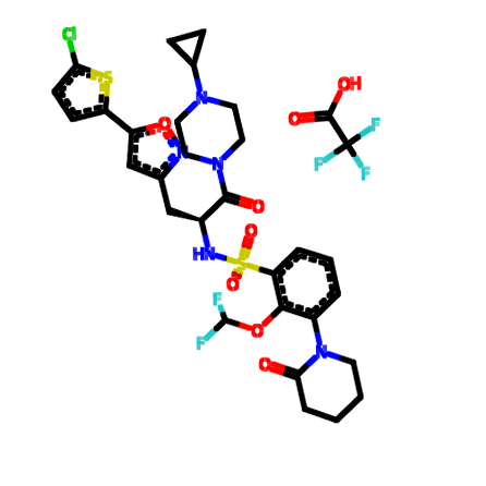 O=C(O)C(F)(F)F.O=C([C@H](Cc1cc(-c2ccc(Cl)s2)on1)NS(=O)(=O)c1cccc(N2CCCCC2=O)c1OC(F)F)N1CCN(C2CC2)CC1